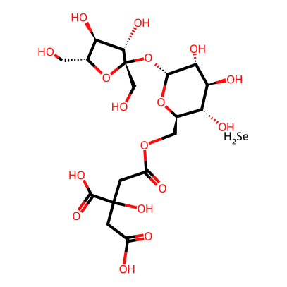 O=C(O)CC(O)(CC(=O)OC[C@H]1O[C@H](O[C@]2(CO)O[C@H](CO)[C@@H](O)[C@@H]2O)[C@H](O)[C@@H](O)[C@@H]1O)C(=O)O.[SeH2]